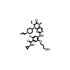 CC=CN1CCC(N2c3nc(Nc4cc(F)c(C(=O)NC5CC5)cc4OCCCO)ncc3N(C)C(=O)[C@H]2CC)CC1